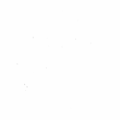 CCCCc1ccccc1.CCCCc1ccccc1.[Ni]